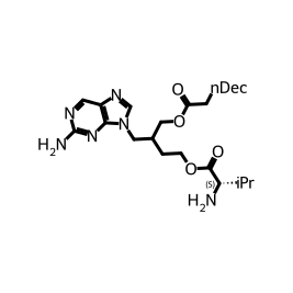 CCCCCCCCCCCC(=O)OCC(CCOC(=O)[C@@H](N)C(C)C)Cn1cnc2cnc(N)nc21